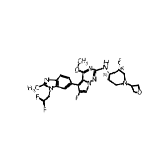 COc1nc(N[C@H]2CCN(C3COC3)C[C@H]2F)nn2cc(F)c(-c3ccc4nc(C)n(CC(F)F)c4c3)c12